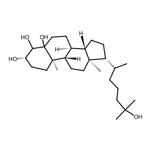 CC(CCCC(C)(C)O)[C@H]1CC[C@H]2[C@@H]3CCC4(O)C(O)[C@@H](O)CC[C@]4(C)[C@H]3CC[C@]12C